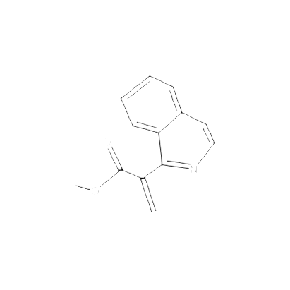 C=C(C(=O)OC)c1nccc2ccccc12